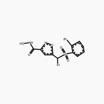 CCC(c1cc(C(=O)NO)no1)S(=O)(=O)c1ccccc1C(C)C